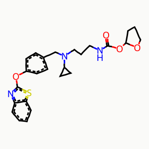 O=C(NCCCN(Cc1ccc(Oc2nc3ccccc3s2)cc1)C1CC1)OC1CCCO1